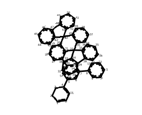 C1=CCCC(c2cc(-c3ccccc3)nc(-c3cccc4c3C3(c5ccccc5-c5ccccc53)c3ccccc3C43c4ccccc4-c4ccccc43)c2)=C1